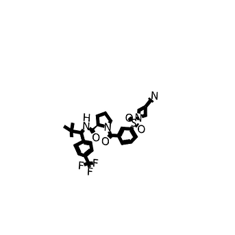 CC(C)(C)C(NC(=O)[C@H]1CCCN1C(=O)c1cccc(S(=O)(=O)N2CC(C#N)C2)c1)c1ccc(C(F)(F)F)cc1